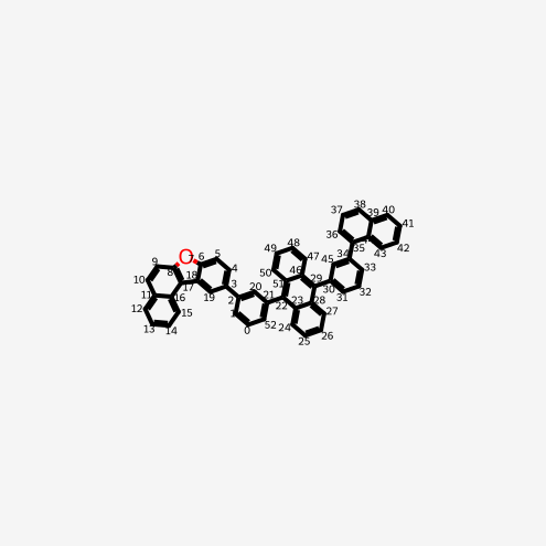 c1cc(-c2ccc3oc4ccc5ccccc5c4c3c2)cc(-c2c3ccccc3c(-c3cccc(-c4cccc5ccccc45)c3)c3ccccc23)c1